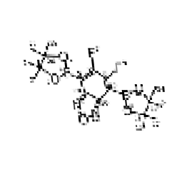 CC1(C)OB(c2c(F)c(F)c(B3OC(C)(C)C(C)(C)O3)c3nonc23)OC1(C)C